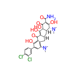 CN(C)c1cc(-c2ccc(Cl)c(Cl)c2)c(O)c2c1C[C@@H]1C[C@@H]3[C@@H](N(C)C)C(O)=C(C(N)=O)C(=O)[C@]3(O)C(O)=C1C2=O